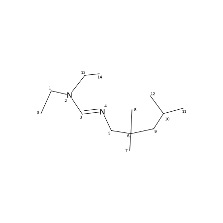 CCN(C=NCC(C)(C)CC(C)C)CC